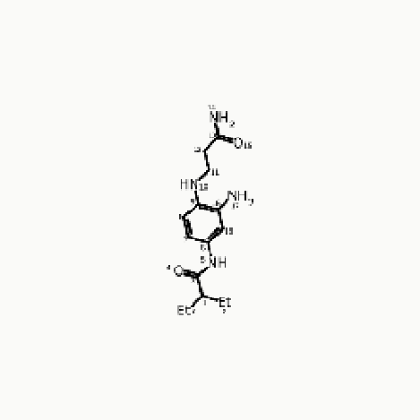 CCC(CC)C(=O)Nc1ccc(NCCC(N)=O)c(N)c1